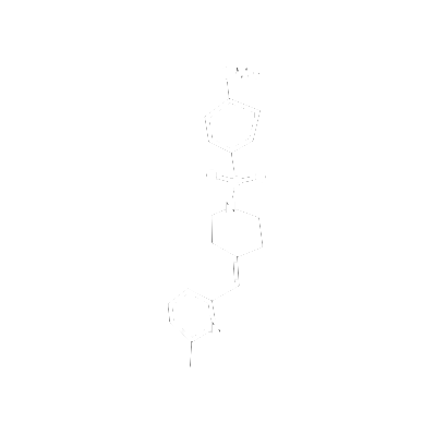 COc1ccc(S(=O)(=O)N2CCC(=Cc3cccc(C)n3)CC2)cc1